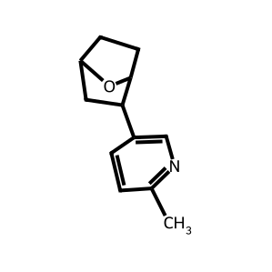 Cc1ccc(C2CC3CCC2O3)cn1